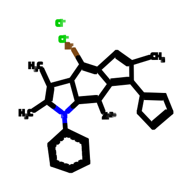 CC1=CC2=C(Br)C3C(C)=C(C)N(c4ccccc4)C3=[C]([Zr+2])C2=C1C1=CC=CC1.[Cl-].[Cl-]